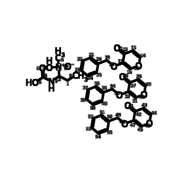 CCC(NC(=O)O)[N+](C)([O-])O.O=c1ccocc1OCc1ccccc1.O=c1ccocc1OCc1ccccc1.O=c1ccocc1OCc1ccccc1